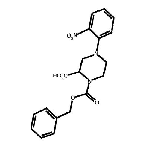 O=C(O)C1CN(c2ccccc2[N+](=O)[O-])CCN1C(=O)OCc1ccccc1